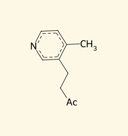 CC(=O)CCc1cnccc1C